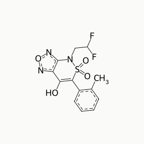 Cc1ccccc1C1=C(O)c2nonc2N(CC(F)F)S1(=O)=O